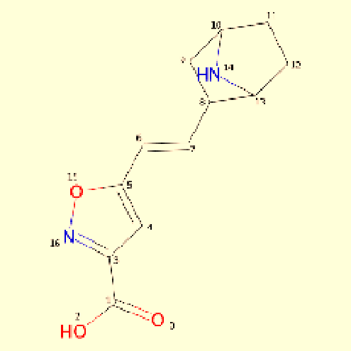 O=C(O)c1cc(C=CC2CC3CCC2N3)on1